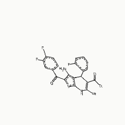 CCC(=O)C1=C(CC)Nc2sc(C(=O)c3ccc(F)c(F)c3)c(N)c2C1c1ccccc1F